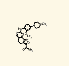 CN1CCN(c2ccc(Nc3ncc4c(n3)-c3noc(C(N)=O)c3CC4)c(OC(F)(F)F)c2)CC1